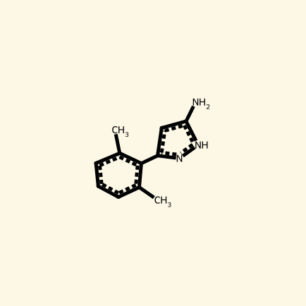 Cc1cccc(C)c1-c1cc(N)[nH]n1